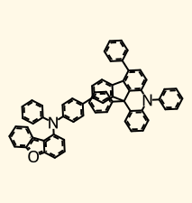 c1ccc(-c2ccc3c4c2-c2ccc(-c5ccc(N(c6ccccc6)c6cccc7oc8ccccc8c67)cc5)cc2C4(c2ccccc2)c2ccccc2N3c2ccccc2)cc1